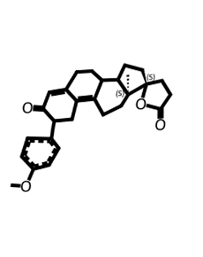 COc1ccc(C2CC3=C4CC[C@@]5(C)C(CC[C@]56CCC(=O)O6)C4CCC3=CC2=O)cc1